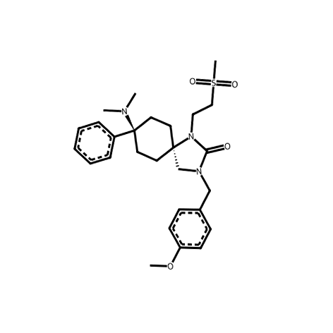 COc1ccc(CN2C[C@]3(CC[C@](c4ccccc4)(N(C)C)CC3)N(CCS(C)(=O)=O)C2=O)cc1